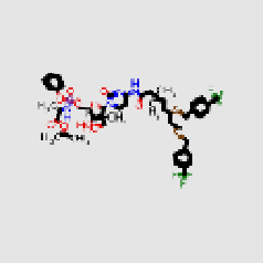 CC(C)OC(=O)[C@H](C)NP(=O)(OC[C@H]1O[C@@H](n2ccc(NC(=O)CC(C)(C)CCC(CCSCc3ccc(C(F)(F)F)cc3)SCc3ccc(C(F)(F)F)cc3)nc2=O)[C@](C)(CO)[C@@H]1O)Oc1ccccc1